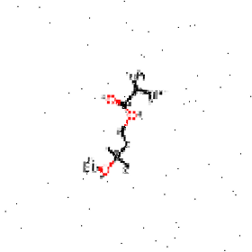 CCCC(CCC)C(=O)OCCC(C)(C)OCC